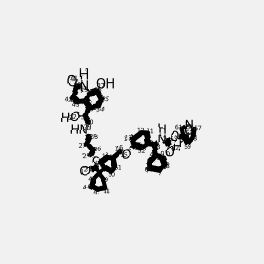 O=C(NC(c1ccccc1)c1cccc(OCc2ccc(C3(C(=O)OCCCCNC[C@H](O)c4ccc(O)c5[nH]c(=O)ccc45)CCCCC3)cc2)c1)O[C@H]1CN2CCC1CC2